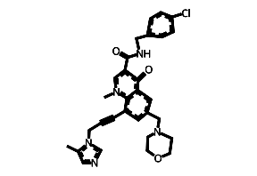 Cc1cncn1CC#Cc1cc(CN2CCOCC2)cc2c(=O)c(C(=O)NCc3ccc(Cl)cc3)cn(C)c12